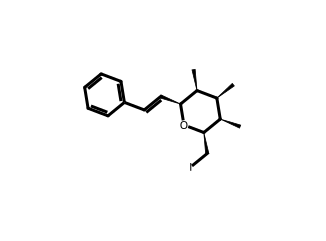 C[C@H]1[C@@H](C)[C@@H](CI)O[C@@H](/C=C/c2ccccc2)[C@H]1C